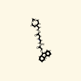 O=C(COC1c2ccccc2-c2ccccc21)NC/C=C/CC(=O)OCCC1CCCCCCC1